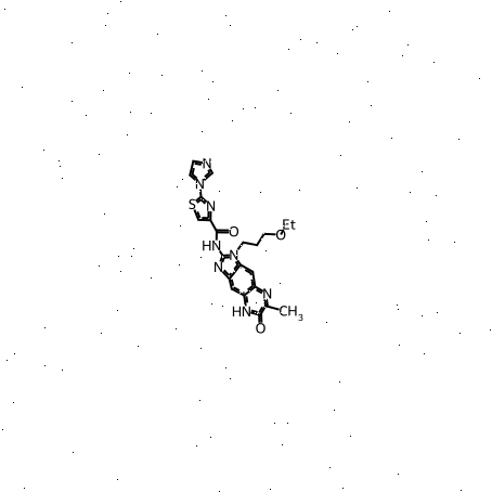 CCOCCCn1c(NC(=O)c2csc(-n3ccnc3)n2)nc2cc3[nH]c(=O)c(C)nc3cc21